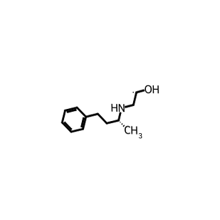 C[C@H](CCc1ccccc1)NC[CH]O